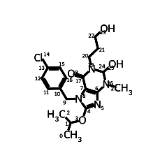 CC(C)Oc1nc2c(n1Cc1ccc(Cl)cc1)C(=O)N(CCCO)C(O)N2C